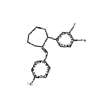 Oc1ccc(C=C2CCCCCC2c2ccc(Br)c(F)c2)cc1